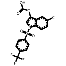 O=C(O)Oc1cn(S(=O)(=O)c2ccc(C(F)(F)F)cc2)c2ccc(Cl)cc12